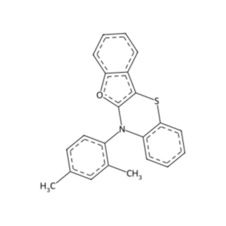 Cc1ccc(N2c3ccccc3Sc3c2oc2ccccc32)c(C)c1